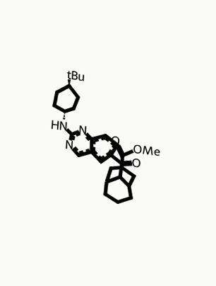 COC(=O)C1CC2CCCC(C1)C2C(=O)c1ccc2nc(N[C@H]3CC[C@H](C(C)(C)C)CC3)ncc2c1